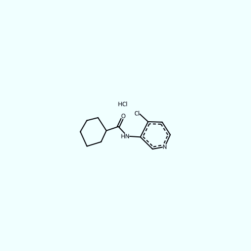 Cl.O=C(Nc1cnccc1Cl)C1CCCCC1